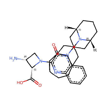 N[C@@H]1CN(c2nc3ccccc3n(C3C[C@H]4CCC[C@@H](C3)N4C3CC4CCCCC(C4)C3)c2=O)[C@@H]1C(=O)O